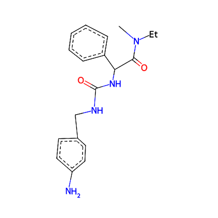 CCN(C)C(=O)C(NC(=O)NCc1ccc(N)cc1)c1ccccc1